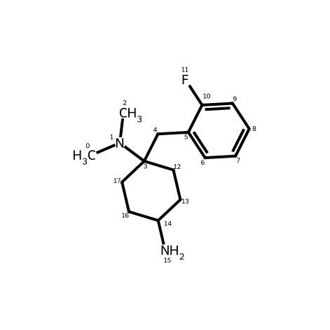 CN(C)C1(Cc2ccccc2F)CCC(N)CC1